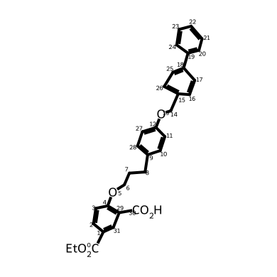 CCOC(=O)c1ccc(OCCCc2ccc(OCc3ccc(-c4ccccc4)cc3)cc2)c(C(=O)O)c1